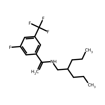 C=C(NCC(CCC)CCC)c1cc(F)cc(C(F)(F)F)c1